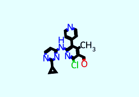 Cc1c(C=O)c(Cl)nc(Nc2ccnc(C3CC3)n2)c1-c1ccncc1